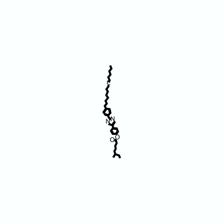 CCCCCCCCCCCCCCCc1ccc(-c2ncc(-c3ccc(OC(=O)CCCCC(C)CC)cc3)cn2)cc1